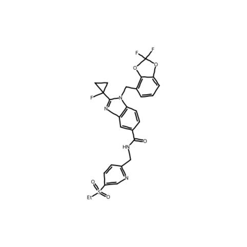 CCS(=O)(=O)c1ccc(CNC(=O)c2ccc3c(c2)nc(C2(F)CC2)n3Cc2cccc3c2OC(F)(F)O3)nc1